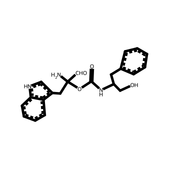 NC(C=O)(Cc1c[nH]c2ccccc12)OC(=O)NC(CO)Cc1ccccc1